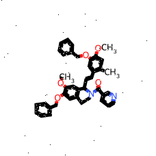 COc1cc(C)c(C=CC2c3cc(OC)c(OCc4ccccc4)cc3CCN2C(=O)c2cccnc2)cc1OCc1ccccc1